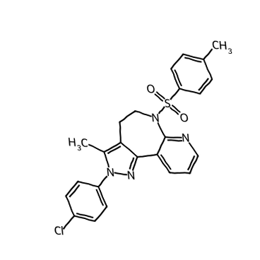 Cc1ccc(S(=O)(=O)N2CCc3c(nn(-c4ccc(Cl)cc4)c3C)-c3cccnc32)cc1